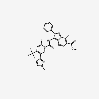 COC(=O)c1cnc2c(NC(=O)c3cc(-c4ccn(C)n4)c(C(F)(F)F)cc3F)n(-c3ccccc3)nc2c1C